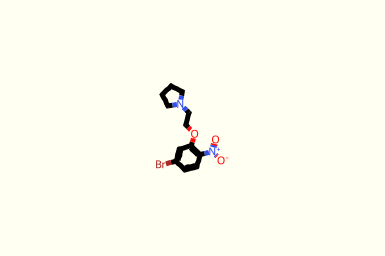 O=[N+]([O-])c1ccc(Br)cc1OCCN1CCCC1